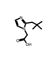 CC(C)(C)Cc1nccn1CC(=O)O